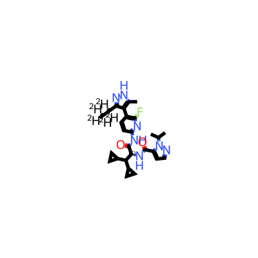 [2H]C([2H])([2H])C([2H])([2H])c1n[nH]c(C)c1-c1ccc(NC(=O)[C@@H](NC(=O)c2ccnn2C(C)C)C(C2CC2)C2CC2)nc1F